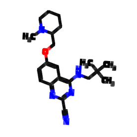 CN1CCCCC1COc1ccc2nc(C#N)nc(NCC(C)(C)C)c2c1